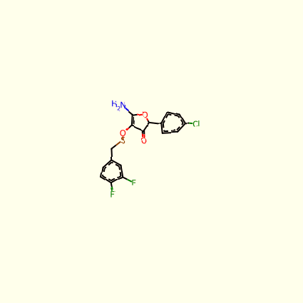 NC1=C(OSCc2ccc(F)c(F)c2)C(=O)C(c2ccc(Cl)cc2)O1